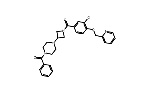 O=C(c1ccccc1)N1CCN(C2CN(C(=O)c3ccc(OCc4ccccn4)c(Cl)c3)C2)CC1